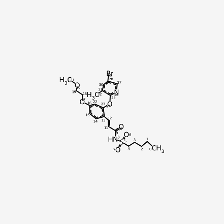 CCCCCS(=O)(=O)NC(=O)/C=C/c1ccc(OCCOC)cc1Oc1ncc(Br)cc1C